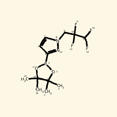 CC1(C)OB(c2ccn(CC(F)(F)C(F)F)n2)OC1(C)C